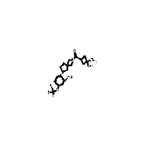 Cc1cc(OC(F)(F)F)ccc1[C@@H]1CCC2(C1)CN(C(=O)C1CC(C)(O)C1)C2